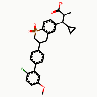 COc1ccc(F)c(-c2ccc(C3Cc4cc([C@H](C5CC5)[C@H](C)C(=O)O)ccc4S(=O)(=O)C3)cc2)c1